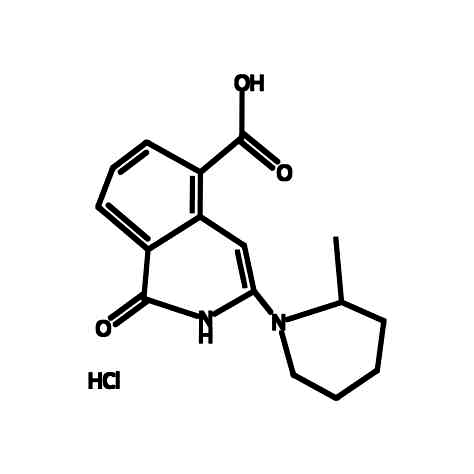 CC1CCCCN1c1cc2c(C(=O)O)cccc2c(=O)[nH]1.Cl